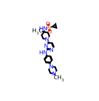 CN1CCN(c2ccc(Nc3nccc(N4CCC(C)(NS(=O)(=O)C5CC5)CC4)n3)cc2)CC1